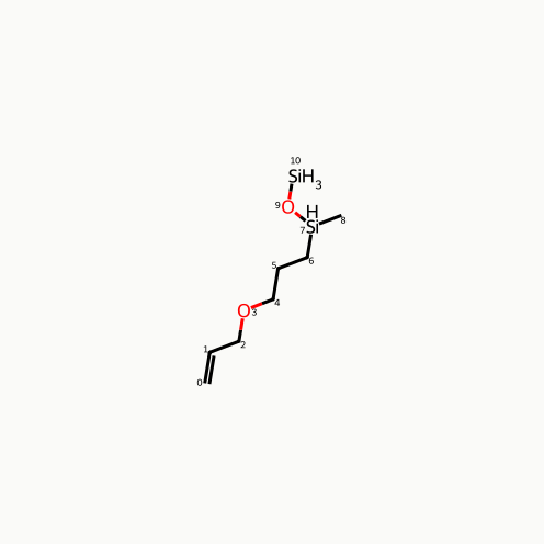 C=CCOCCC[SiH](C)O[SiH3]